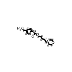 CCc1ccc(OC(=O)OCCCCCN2CCOCC2)nc1